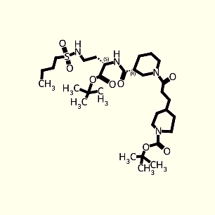 CCCCS(=O)(=O)NCC[C@H](NC(=O)[C@@H]1CCCN(C(=O)CCC2CCN(C(=O)OC(C)(C)C)CC2)C1)C(=O)OC(C)(C)C